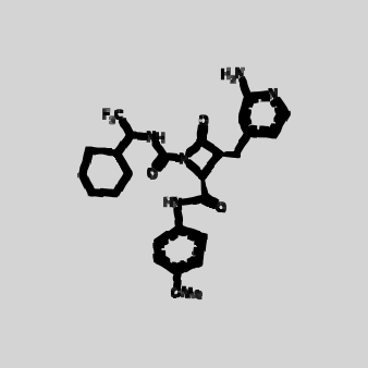 COc1ccc(NC(=O)[C@@H]2[C@H](Cc3ccnc(N)c3)C(=O)N2C(=O)NC(C2CCCCC2)C(F)(F)F)cc1